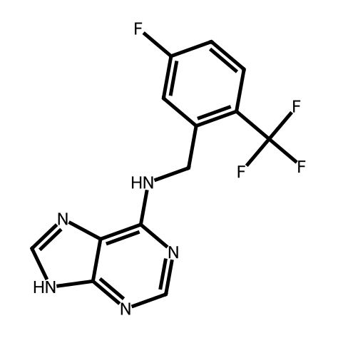 Fc1ccc(C(F)(F)F)c(CNc2ncnc3[nH]cnc23)c1